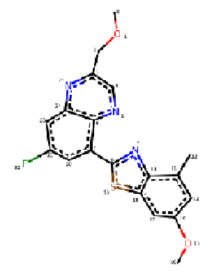 COCc1cnc2c(-c3nc4c(C)cc(OC)cc4s3)cc(F)cc2n1